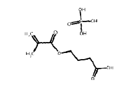 C=C(C)C(=O)OCCCC(=O)O.O=P(O)(O)O